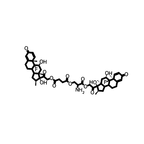 C[C@@H]1CC2C3CCC4=CC(=O)C=C[C@]4(C)[C@@]3(F)[C@@H](O)C[C@]2(C)[C@@]1(O)C(=O)COC(=O)C(N)COC(=O)CCC(=O)OCC(=O)[C@@]1(O)[C@@H](C)CC2C3CCC4=CC(=O)C=C[C@]4(C)[C@@]3(F)[C@@H](O)C[C@@]21C